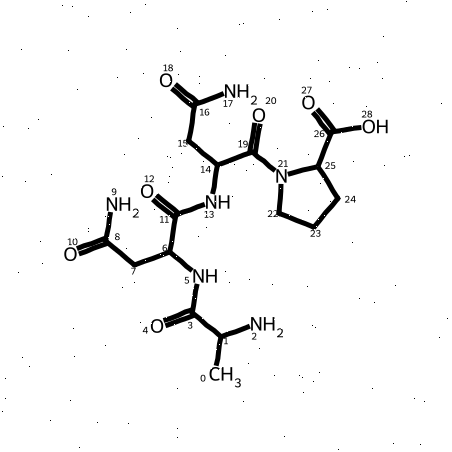 CC(N)C(=O)NC(CC(N)=O)C(=O)NC(CC(N)=O)C(=O)N1CCCC1C(=O)O